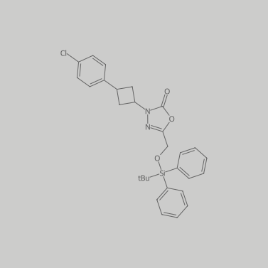 CC(C)(C)[Si](OCc1nn(C2CC(c3ccc(Cl)cc3)C2)c(=O)o1)(c1ccccc1)c1ccccc1